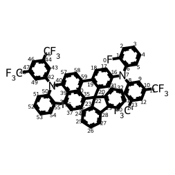 Fc1ccccc1N(c1cc(C(F)(F)F)cc(C(F)(F)F)c1)c1ccc2c(c1)C1(c3ccccc3-c3ccccc31)c1cccc3c(N(c4cc(C(F)(F)F)cc(C(F)(F)F)c4)c4ccccc4F)ccc-2c13